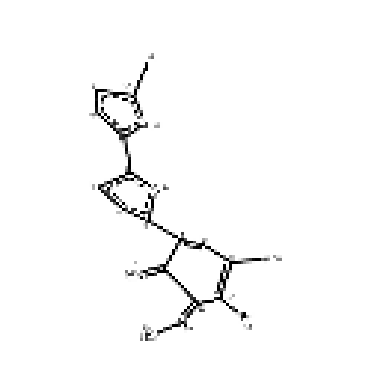 N=C1C(c2ccc(-c3ccc(I)s3)s2)=CC(F)=C(Br)/C1=N/S